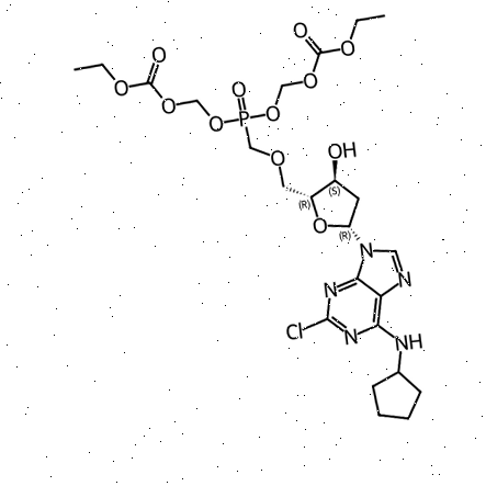 CCOC(=O)OCOP(=O)(COC[C@H]1O[C@@H](n2cnc3c(NC4CCCC4)nc(Cl)nc32)C[C@@H]1O)OCOC(=O)OCC